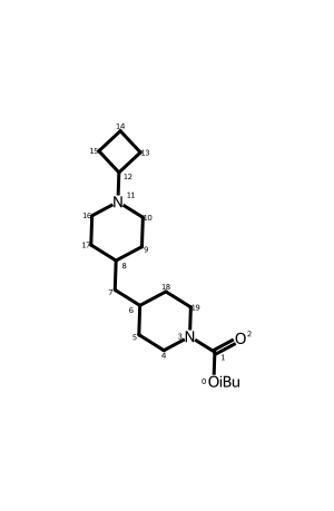 CC(C)COC(=O)N1CCC(CC2CCN(C3CCC3)CC2)CC1